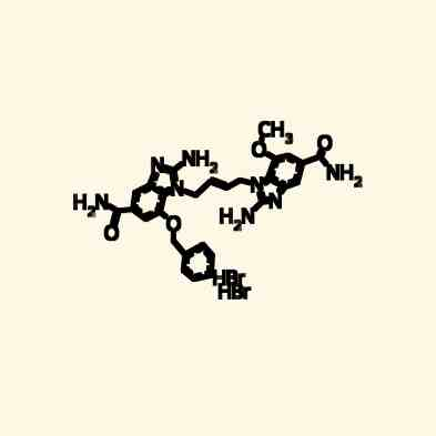 Br.Br.COc1cc(C(N)=O)cc2nc(N)n(CC=CCn3c(N)nc4cc(C(N)=O)cc(OCc5ccccc5)c43)c12